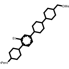 CCCCCC1CCC(c2ccc(C3CCC(C4CCC(COC)CC4)CC3)cc2CC)CC1